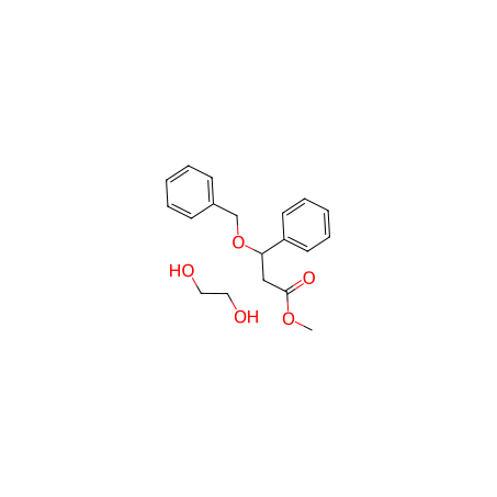 COC(=O)CC(OCc1ccccc1)c1ccccc1.OCCO